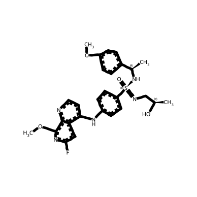 COc1ccc([C@@H](C)N[S@@](=O)(=NC[C@@H](C)O)c2ccc(Nc3ccnc4c(OC)nc(F)cc34)cc2)cc1